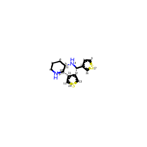 c1cc(CN[C@H]2CCCN[C@H]2c2ccsc2)cs1